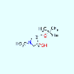 CC(C)(C)[Si](C)(C)OC[C@H]1CN(C(=O)O)C[C@@H]1O